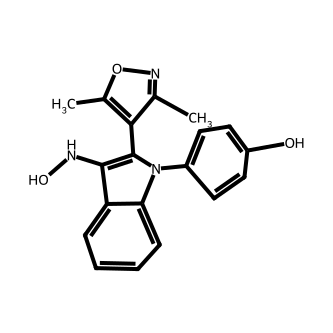 Cc1noc(C)c1-c1c(NO)c2ccccc2n1-c1ccc(O)cc1